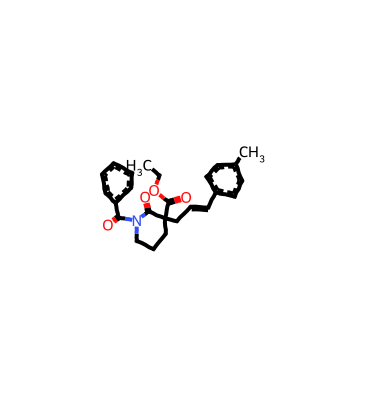 CCOC(=O)C1(CC=Cc2ccc(C)cc2)CCCN(C(=O)c2ccccc2)C1=O